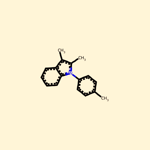 Cc1[c]cc(-n2c(C)c(C)c3ccccc32)cc1